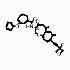 C=C1C=C2C(=CC=C1C#CC1(F)COC1)OC[C@H](NC(=O)C1=CC(Oc3ccccc3)=CC=CC1)C(=O)CC2C